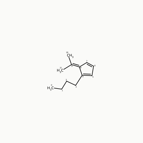 CCCCC1=CC=CC1=C(C)C